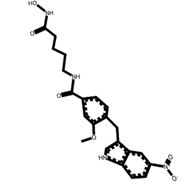 COc1cc(C(=O)NCCCCC(=O)NO)ccc1Cc1c[nH]c2ccc([N+](=O)[O-])cc12